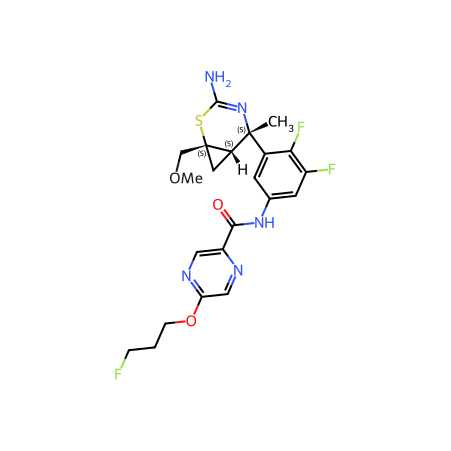 COC[C@]12C[C@H]1[C@@](C)(c1cc(NC(=O)c3cnc(OCCCF)cn3)cc(F)c1F)N=C(N)S2